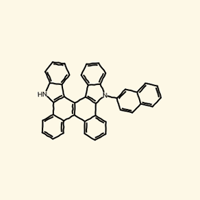 c1ccc2cc(-n3c4ccccc4c4c5c(c6ccccc6c6[nH]c7ccccc7c65)c5ccccc5c43)ccc2c1